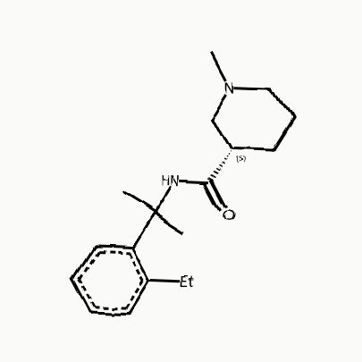 CCc1ccccc1C(C)(C)NC(=O)[C@H]1CCCN(C)C1